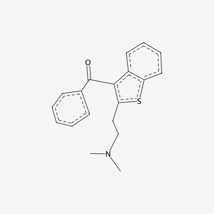 CN(C)CCc1sc2ccccc2c1C(=O)c1ccccc1